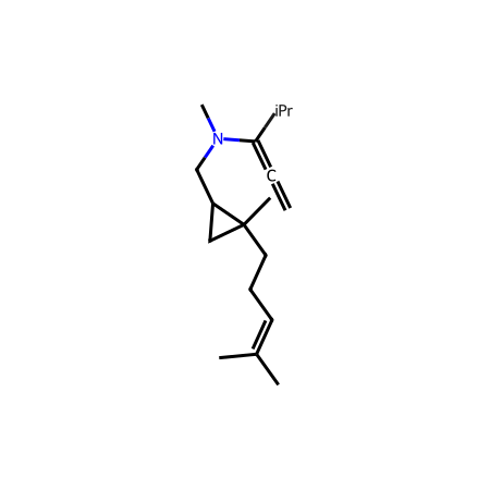 C=C=C(C(C)C)N(C)CC1CC1(C)CCC=C(C)C